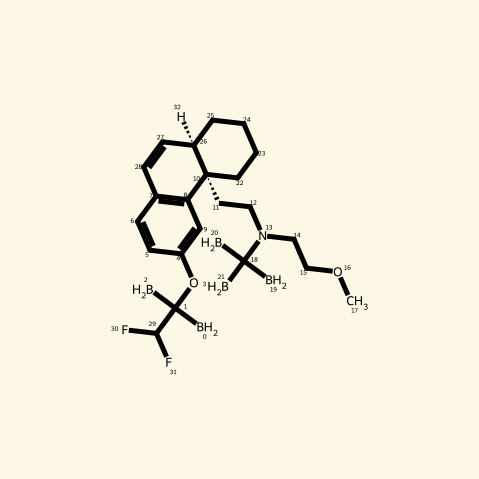 BC(B)(Oc1ccc2c(c1)[C@]1(CCN(CCOC)C(B)(B)B)CCCC[C@@H]1C=C2)C(F)F